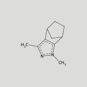 Cc1nn(C)c2c1C1CCC2C1